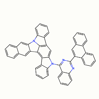 c1ccc2cc3c(cc2c1)c1c2c4ccccc4n(-c4nc(-c5cc6ccccc6c6ccccc56)nc5ccccc45)c2cc2c4ccccc4n3c21